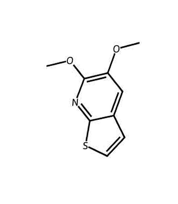 COc1cc2ccsc2nc1OC